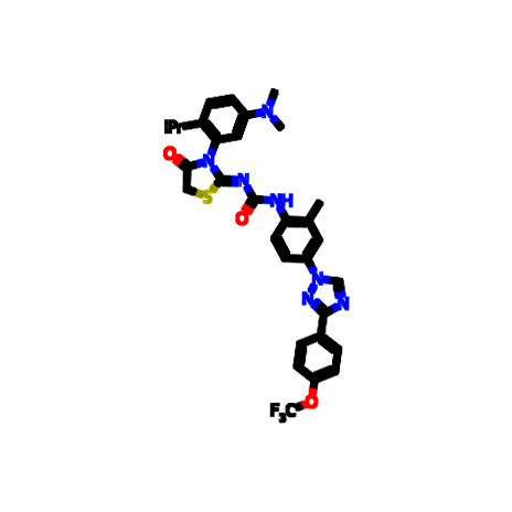 Cc1cc(-n2cnc(-c3ccc(OC(F)(F)F)cc3)n2)ccc1NC(=O)/N=C1\SCC(=O)N1c1cc(N(C)C)ccc1C(C)C